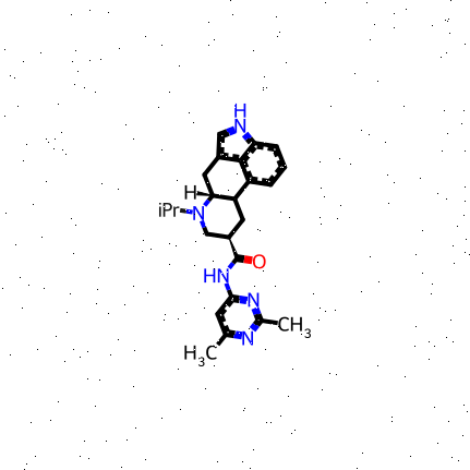 Cc1cc(NC(=O)[C@@H]2CC3c4cccc5[nH]cc(c45)C[C@H]3N(C(C)C)C2)nc(C)n1